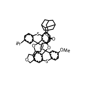 COc1ccc2c(c1)C1(OCC(C(=O)OC34CC5CC(C3)C(c3cccc6c3Sc3ccc(C(C)C)cc3C63OCC(C6CCOC6)O3)C(C5)C4)O1)c1ccccc1S2